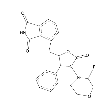 O=C1NC(=O)c2c(CC3OC(=O)N(N4CCOCC4F)C3c3ccccc3)cccc21